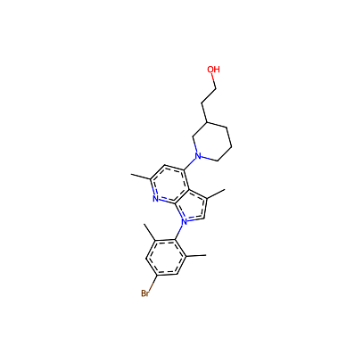 Cc1cc(N2CCCC(CCO)C2)c2c(C)cn(-c3c(C)cc(Br)cc3C)c2n1